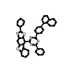 c1ccc(-c2nc(-c3ccc(-c4cccc5ccccc45)cc3)nc(-c3c4oc(-c5ccccc5)nc4cc4oc5ccccc5c34)n2)cc1